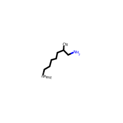 CCCCCCCCCCC(C#N)CN